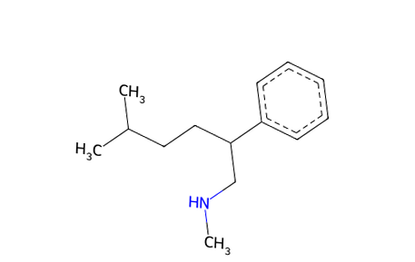 CNCC(CCC(C)C)c1ccccc1